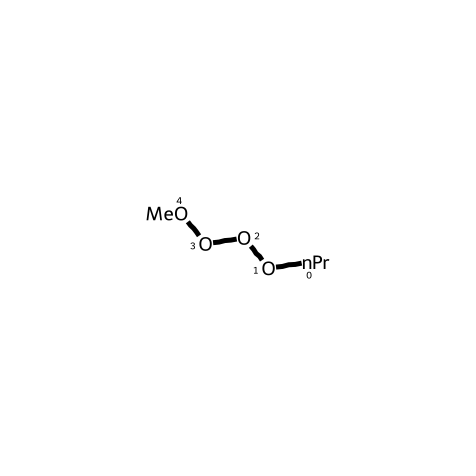 CCCOOOOC